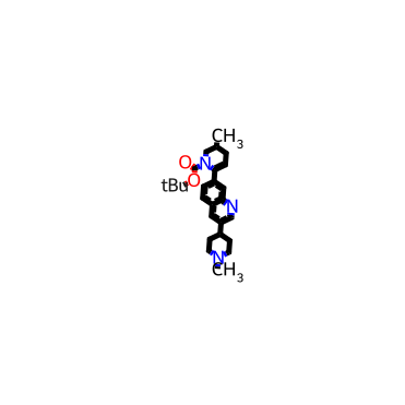 CC1CC=C(c2ccc3cc(C4CCN(C)CC4)cnc3c2)N(C(=O)OC(C)(C)C)C1